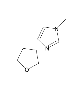 C1CCOC1.Cn1ccnc1